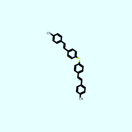 [C-]#[N+]c1ccc(/C=C/c2ccc(Sc3ccc(/C=C/c4ccc(C#N)cc4)cc3)cc2)cc1